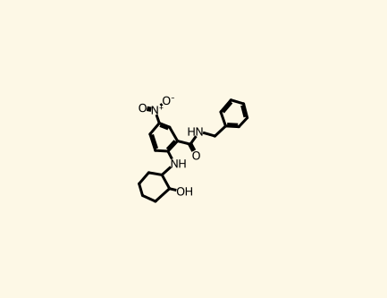 O=C(NCc1ccccc1)c1cc([N+](=O)[O-])ccc1NC1CCCCC1O